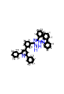 N=C(/N=C(\Nn1c2ccccc2c2ccccc21)c1ccccc1)c1cccc(-c2cc(-c3ccccc3)nc(-c3ccccc3)c2)c1